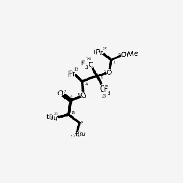 COC(OC(C(OC(=O)C(CC(C)(C)C)C(C)(C)C)C(C)C)(C(F)(F)F)C(F)(F)F)C(C)C